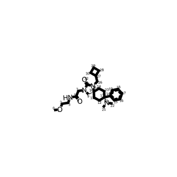 COCCNC(=O)CN1C[C@]2(CC[C@@](c3ccccc3)(N(C)C)CC2)N(CC2CCC2)C1=O